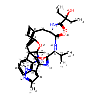 CCC(O)(CC)C(=O)N[C@H]1Cc2ccc3c(c2)C2(c4ccccc4N[C@H]2O3)c2oc(nc2-c2cc(C)nn2C)[C@H](C(C)C)NC1=O